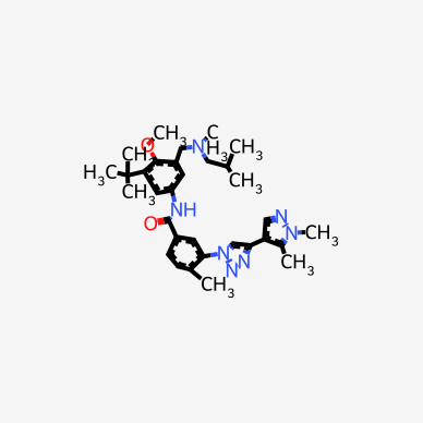 COc1c(CN(C)CC(C)C)cc(NC(=O)c2ccc(C)c(-n3cc(-c4cnn(C)c4C)nn3)c2)cc1C(C)(C)C